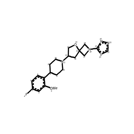 COc1cc(F)ccc1C1CCN(C2COC3(C2)CN(c2nncs2)C3)CC1